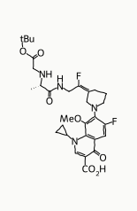 COc1c(N2CCC/C(=C(\F)CNC(=O)[C@H](C)NCC(=O)OC(C)(C)C)C2)c(F)cc2c(=O)c(C(=O)O)cn(C3CC3)c12